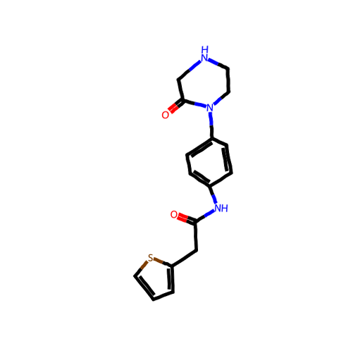 O=C(Cc1cccs1)Nc1ccc(N2CCNCC2=O)cc1